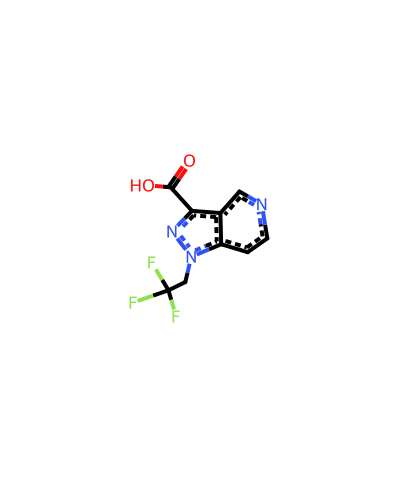 O=C(O)c1nn(CC(F)(F)F)c2ccncc12